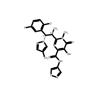 Cc1cnn([C@H](c2cc(F)ccc2Cl)[C@@H](C)c2nc(C(=O)Nc3cnoc3)c(O)c(=O)n2C)c1